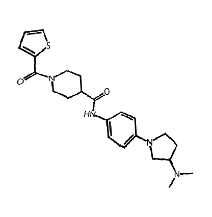 CN(C)C1CCN(c2ccc(NC(=O)C3CCN(C(=O)c4cccs4)CC3)cc2)C1